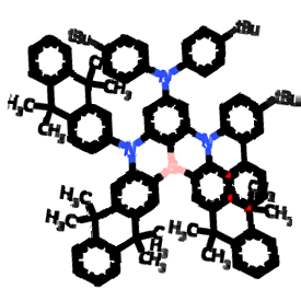 CC(C)(C)c1ccc(N(c2ccc(C(C)(C)C)cc2)c2cc3c4c(c2)N(c2ccc(C(C)(C)C)cc2-c2ccccc2)c2cc5c(cc2B4c2cc4c(cc2N3c2ccc3c(c2)C(C)(C)c2ccccc2C3(C)C)C(C)(C)c2ccccc2C4(C)C)C(C)(C)c2ccccc2C5(C)C)cc1